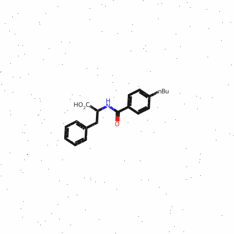 CCCCc1ccc(C(=O)NC(Cc2ccccc2)C(=O)O)cc1